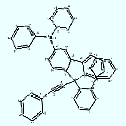 C(#CC1(c2ccccc2-c2ccccc2)c2ccccc2-c2cc(N(c3ccccc3)c3ccccc3)ccc21)c1ccccc1